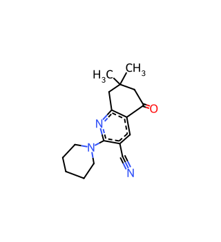 CC1(C)CC(=O)c2cc(C#N)c(N3CCCCC3)nc2C1